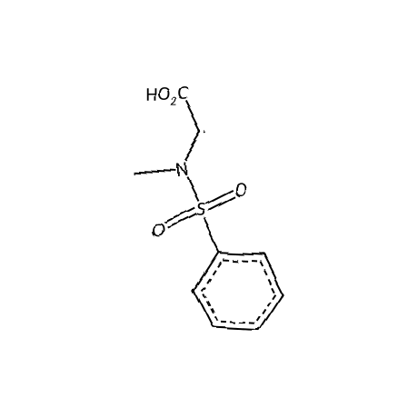 CN([CH]C(=O)O)S(=O)(=O)c1ccccc1